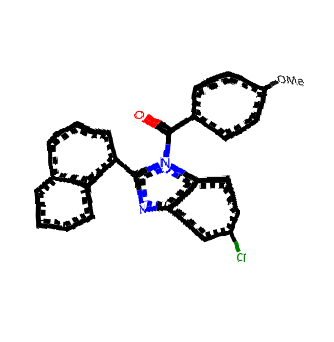 COc1ccc(C(=O)n2c(-c3cccc4ccccc34)nc3cc(Cl)ccc32)cc1